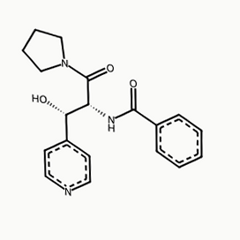 O=C(N[C@@H](C(=O)N1CCCC1)[C@@H](O)c1ccncc1)c1ccccc1